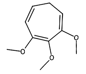 COC1=CCC=CC(OC)=C1OC